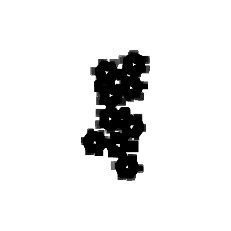 C1=CC(C2N=C(c3ccccc3)N=C(c3ccccc3)N2)C2C(=C1)Oc1c(-c3ccc4c(c3)sc3cccc(-n5c6ccccc6c6ccccc65)c34)cccc12